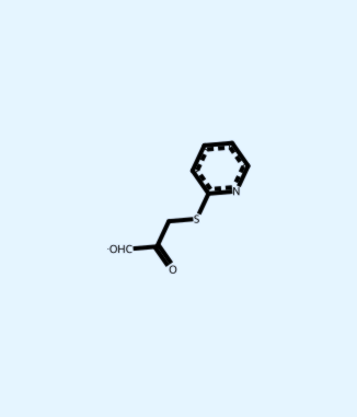 O=[C]C(=O)CSc1ccccn1